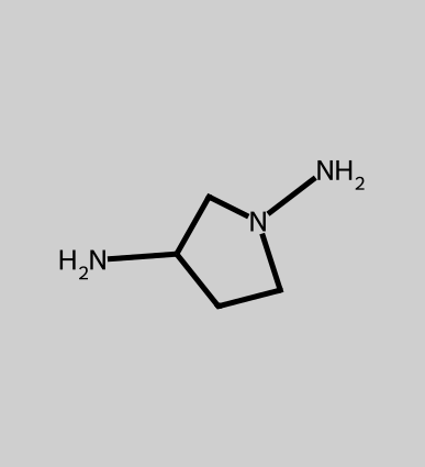 NC1CCN(N)C1